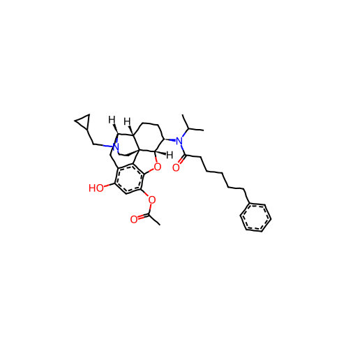 CC(=O)Oc1cc(O)c2c3c1O[C@H]1[C@H](N(C(=O)CCCCCc4ccccc4)C(C)C)CC[C@H]4[C@@H](C2)N(CC2CC2)CC[C@@]341